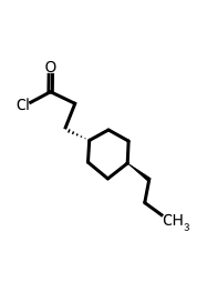 CCC[C@H]1CC[C@H](CCC(=O)Cl)CC1